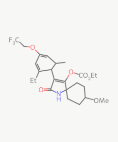 CCOC(=O)OC1=C(C2C(CC)=CC(OCC(F)(F)F)=CC2C)C(=O)NC12CCC(OC)CC2